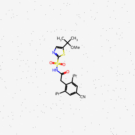 COC(C)(C)c1cnc(S(=O)(=O)NC(=O)Cc2c(C(C)C)cc(C#N)cc2C(C)C)s1